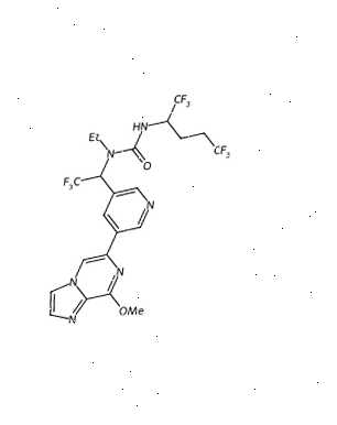 CCN(C(=O)NC(CCC(F)(F)F)C(F)(F)F)C(c1cncc(-c2cn3ccnc3c(OC)n2)c1)C(F)(F)F